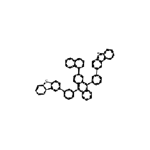 C1=CC2Sc3ccc(-c4cccc(-c5c6ccccc6c(-c6cccc(-c7ccc8sc9ccccc9c8c7)c6)c6cc(-c7cccc8ccccc78)ccc56)c4)cc3C2C=C1